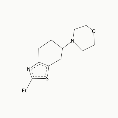 CCc1nc2c(s1)CC(N1CCOCC1)CC2